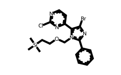 C[Si](C)(C)CCOCn1c(-c2ccccc2)nc(Br)c1-c1ccnc(Cl)n1